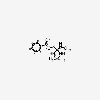 CNC(COC(=O)c1ccccc1)(NC)NC